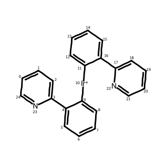 c1ccc(-c2cccc[c]2[Ir+][c]2ccccc2-c2ccccn2)nc1